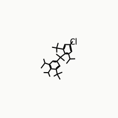 CC(C)c1cc(C(C)(C)c2c(C(C)C)cc(Cl)cc2C(C)(C)C)cc(C(C)(C)C)c1C(C)C